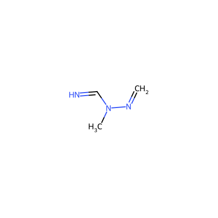 C=NN(C)C=N